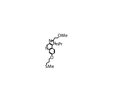 CCCn1c(CCOC)nc2cnc3cc(OCCCSC)ccc3c21